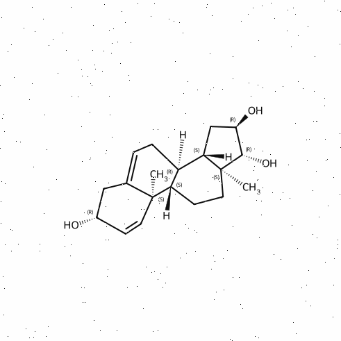 C[C@]12CC[C@H]3[C@@H](CC=C4C[C@@H](O)C=C[C@@]43C)[C@@H]1C[C@@H](O)[C@@H]2O